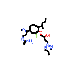 C=NN(CCC(O)COC1=C(\F)CC(/C(C/C=N\C(=C)N)=N/C)=C\C/C=C\1C(C)CCC)/N=C\CC